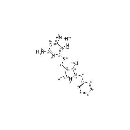 Cc1nn(Cc2ccccc2)c(Cl)c1CSc1nc(N)nc2[nH]nnc12